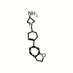 NC1CN(C2CC=C(c3ccc4c(c3)OCC4)CC2)C1